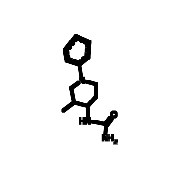 CC1CN(c2ccccc2)CCC1NC(N)=O